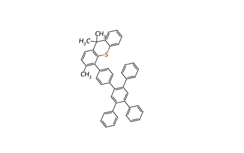 Cc1ccc2c(c1-c1ccc(-c3cc(-c4ccccc4)c(-c4ccccc4)cc3-c3ccccc3)cc1)Sc1ccccc1C2(C)C